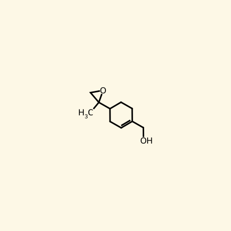 CC1(C2CC=C(CO)CC2)CO1